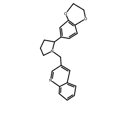 c1ccc2ncc(CN3CCCC3c3ccc4c(c3)OCCO4)cc2c1